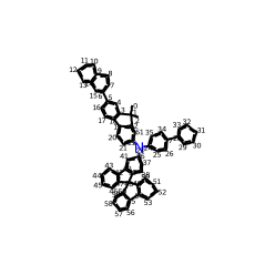 CC1(C)c2cc(-c3ccc4ccccc4c3)ccc2-c2ccc(N(c3ccc(-c4ccccc4)cc3)c3ccc4c(c3)-c3ccccc3C43c4ccccc4-c4ccccc43)cc21